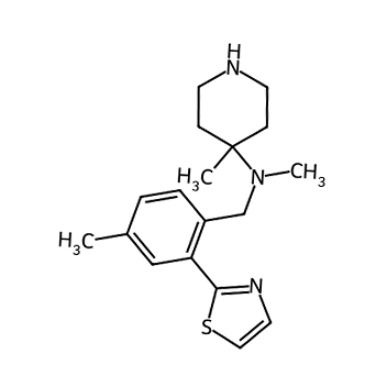 Cc1ccc(CN(C)C2(C)CCNCC2)c(-c2nccs2)c1